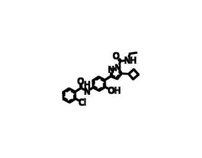 CCNC(=O)n1nc(-c2ccc(NC(=O)c3ccccc3Cl)cc2O)cc1C1CCC1